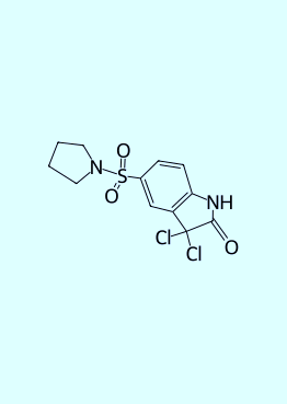 O=C1Nc2ccc(S(=O)(=O)N3CCCC3)cc2C1(Cl)Cl